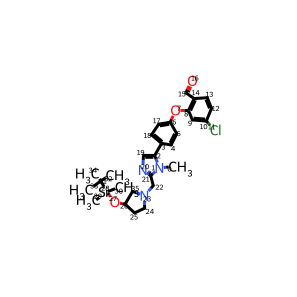 Cn1c(-c2ccc(Oc3cc(Cl)ccc3C=O)cc2)cnc1CN1CCC(O[Si](C)(C)C(C)(C)C)C1